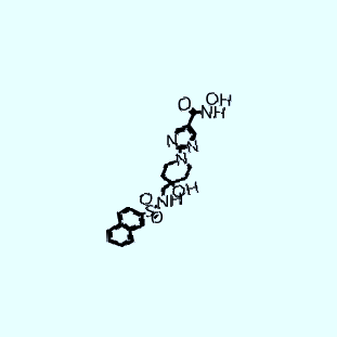 O=C(NO)c1cnc(N2CCC(O)(CNS(=O)(=O)c3ccc4ccccc4c3)CC2)nc1